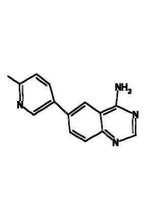 Cc1ccc(-c2ccc3ncnc(N)c3c2)cn1